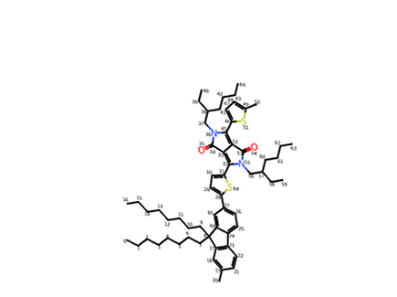 CCCCCCCCC1(CCCCCCCC)c2cc(C)ccc2-c2ccc(-c3ccc(C4=C5C(=O)N(CC(CC)CCCC)C(c6ccc(C)s6)=C5C(=O)N4CC(CC)CCCC)s3)cc21